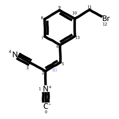 [C-]#[N+]/C(C#N)=C/c1cccc(CBr)c1